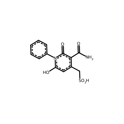 NC(=O)c1c(CS(=O)(=O)O)cc(O)n(-c2ccccc2)c1=O